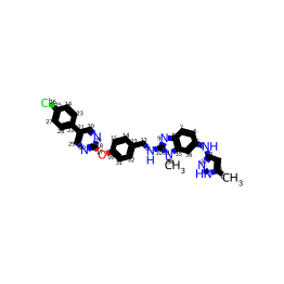 Cc1cc(Nc2ccc3nc(NCc4ccc(Oc5ncc(-c6ccc(Cl)cc6)cn5)cc4)n(C)c3c2)n[nH]1